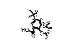 CC(=O)Oc1c(C(=O)O)cc(C(C)(C)C)cc1[SiH](C)C